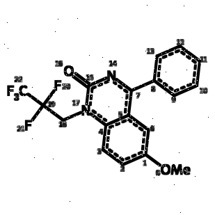 COc1ccc2c(c1)c(-c1ccccc1)nc(=O)n2CC(F)(F)C(F)(F)F